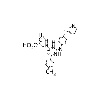 Cc1ccc(CN/C(=N/c2ccc(Oc3cccnc3)cc2)NC(=O)NC[C@H](C)C(=O)O)cc1